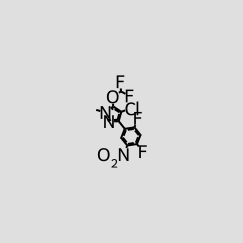 Cn1nc(-c2cc([N+](=O)[O-])c(F)cc2F)c(Cl)c1OC(F)F